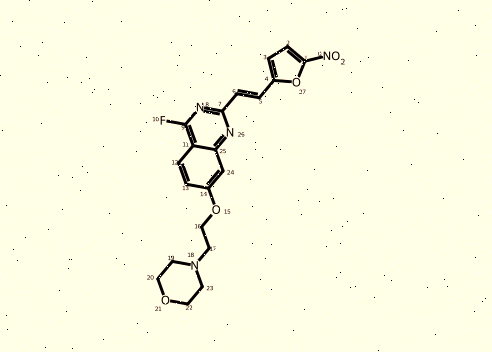 O=[N+]([O-])c1ccc(C=Cc2nc(F)c3ccc(OCCN4CCOCC4)cc3n2)o1